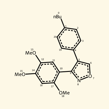 CCCCc1ccc(-c2conc2-c2cc(OC)c(OC)cc2OC)cc1